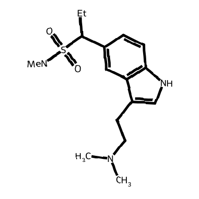 CCC(c1ccc2[nH]cc(CCN(C)C)c2c1)S(=O)(=O)NC